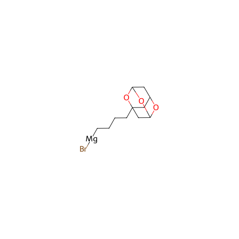 [Br][Mg][CH2]CCCC12CC3CC(OC(C1)O3)O2